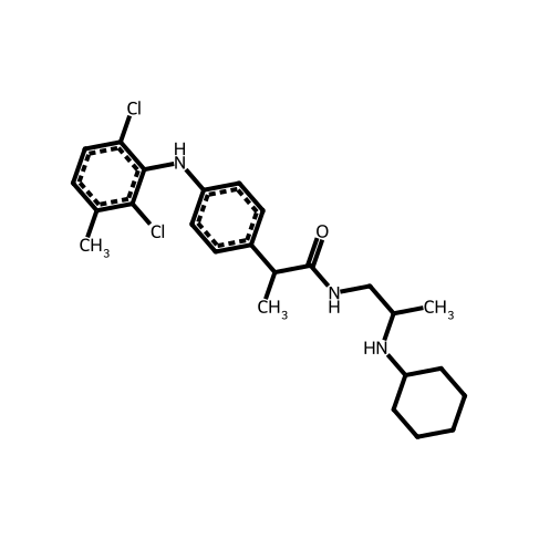 Cc1ccc(Cl)c(Nc2ccc(C(C)C(=O)NCC(C)NC3CCCCC3)cc2)c1Cl